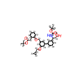 CC(C)(C)OC(=O)Cc1ccccc1OCc1cc(OCC2CC2)cc(-c2cccc(C(CO)NC(=O)OC(C)(C)C)c2)c1